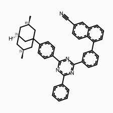 C[C@@H]1C[C@@H]2C[C@H](C)CC(c3ccc(-c4nc(-c5ccccc5)nc(-c5cccc(-c6cccc7cc(C#N)ccc67)c5)n4)cc3)(C1)C2